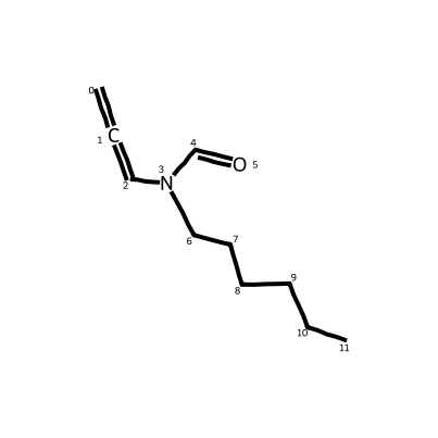 C=C=CN(C=O)CCCCCC